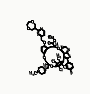 Cc1c(Cl)c2c(Cl)c(C)c1-c1c(-c3ccc(F)cc3)sc3ncnc(c13)O[C@@H](C(=O)OC(C)(C)C)Cc1cc(ccc1OCc1ccnc(C3COCCOC3)n1)OC[C@@H](CN1CCN(C)CC1)O2